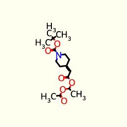 CC(=O)OC(C)OC(=O)C=C1CCN(C(=O)OC(C)(C)C)CC1